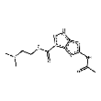 CC(=O)Nc1nc2[nH]nc(C(=O)NCCN(C)C)c2s1